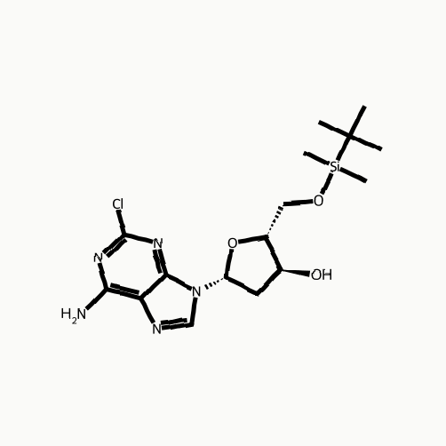 CC(C)(C)[Si](C)(C)OC[C@H]1O[C@@H](n2cnc3c(N)nc(Cl)nc32)C[C@@H]1O